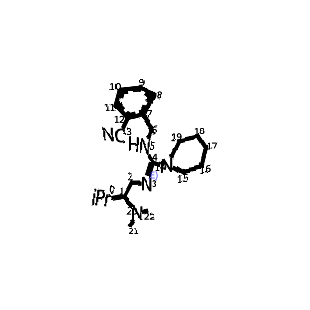 CC(C)C(C/N=C(\NCc1ccccc1C#N)N1CCCCC1)N(C)C